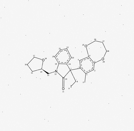 Cc1cc2c(cc1C1(CI)C(=O)N(C[C@H]3CCCO3)c3ccccc31)OCCCO2